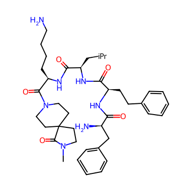 CC(C)C[C@@H](NC(=O)[C@@H](CCc1ccccc1)NC(=O)[C@H](N)Cc1ccccc1)C(=O)N[C@H](CCCCN)C(=O)N1CCC2(CCN(C)C2=O)CC1